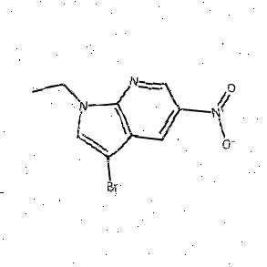 CCn1cc(Br)c2cc([N+](=O)[O-])cnc21